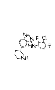 Fc1ccc(Nc2ncnc3ccc([C@H]4CCCNC4)cc23)c(F)c1Cl